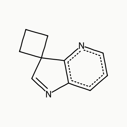 C1=Nc2cccnc2C12CCC2